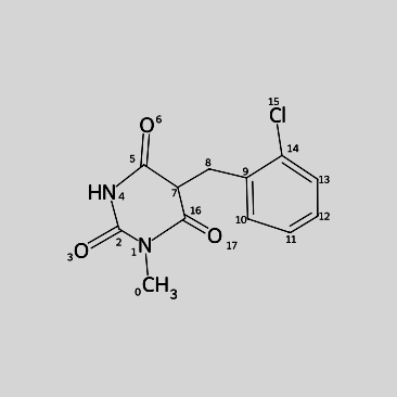 CN1C(=O)NC(=O)C(Cc2ccccc2Cl)C1=O